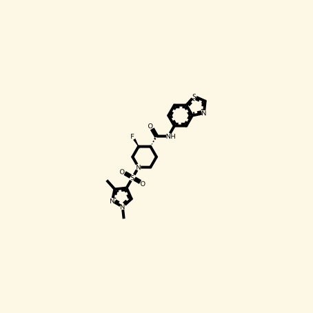 Cc1nn(C)cc1S(=O)(=O)N1CC[C@@H](C(=O)Nc2ccc3scnc3c2)[C@H](F)C1